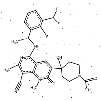 CC(=O)N1CCC(O)(c2cc3c(N[C@H](C)c4cccc(C(F)F)c4F)nc(C)c(C#N)c3n(C)c2=O)CC1